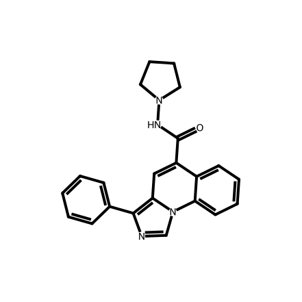 O=C(NN1CCCC1)c1cc2c(-c3ccccc3)ncn2c2ccccc12